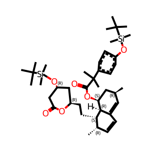 C[C@H]1C=C2C=C[C@H](C)[C@H](CC[C@@H]3C[C@@H](O[Si](C)(C)C(C)(C)C)CC(=O)O3)[C@H]2[C@@H](OC(=O)C(C)(C)c2ccc(O[Si](C)(C)C(C)(C)C)cc2)C1